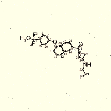 CC(F)(F)c1ccc(Oc2cccc3cc(C(=O)N4CC(NCCF)C4)ccc23)cc1